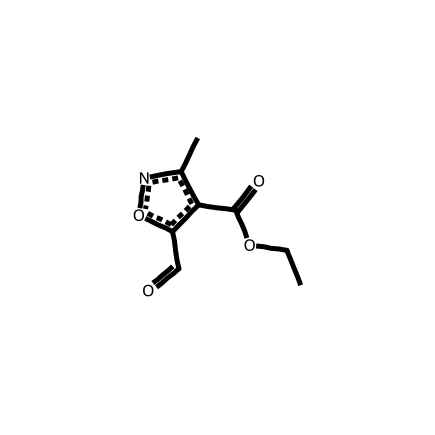 CCOC(=O)c1c(C)noc1C=O